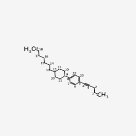 CCCC#Cc1ccc(C2CCC(CCCCCCC)CC2)cc1